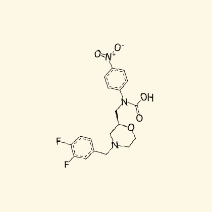 O=C(O)N(C[C@@H]1CN(Cc2ccc(F)c(F)c2)CCO1)c1ccc([N+](=O)[O-])cc1